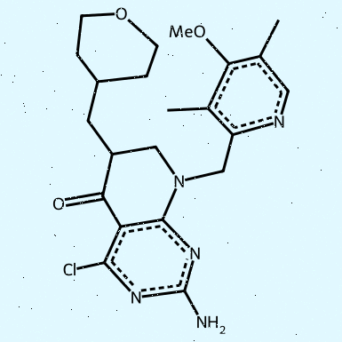 COc1c(C)cnc(CN2CC(CC3CCOCC3)C(=O)c3c(Cl)nc(N)nc32)c1C